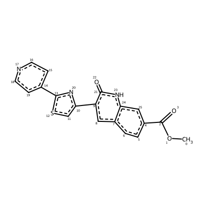 COC(=O)c1ccc2cc(-c3csc(-c4ccncc4)n3)c(=O)[nH]c2c1